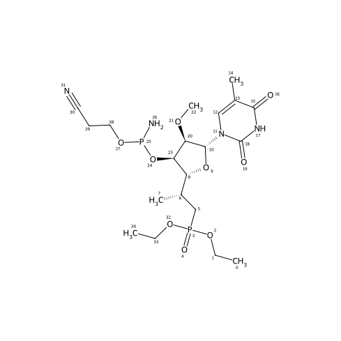 CCOP(=O)(C[C@H](C)[C@H]1O[C@@H](n2cc(C)c(=O)[nH]c2=O)[C@H](OC)[C@@H]1OP(N)OCCC#N)OCC